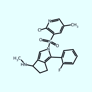 CNC1CCc2c1cn(S(=O)(=O)c1cc(C)cnc1Cl)c2-c1ccccc1F